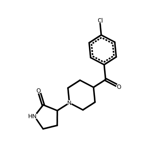 O=C(c1ccc(Cl)cc1)C1CCN(C2CCNC2=O)CC1